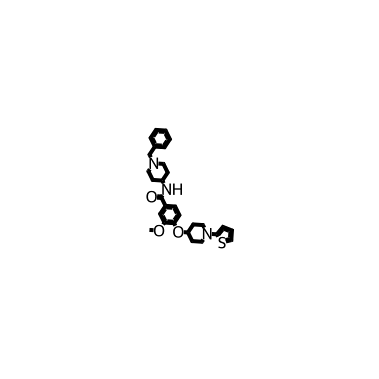 COc1cc(C(=O)NC2CCN(Cc3ccccc3)CC2)ccc1OC1CCN(c2cccs2)CC1